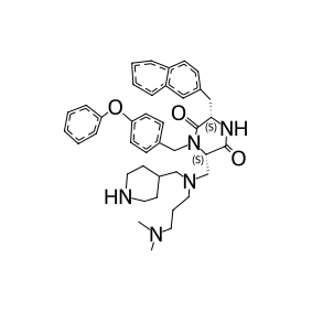 CN(C)CCCN(CC1CCNCC1)C[C@H]1C(=O)N[C@@H](Cc2ccc3ccccc3c2)C(=O)N1Cc1ccc(Oc2ccccc2)cc1